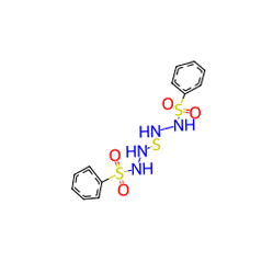 O=S(=O)(NNSNNS(=O)(=O)c1ccccc1)c1ccccc1